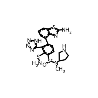 CN(C1CCNC1)[S+]([O-])c1ccc(-c2cccc3sc(N)nc23)c(-c2nnn[nH]2)c1SN